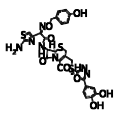 Nc1nc(/C(=N/OCc2ccc(O)cc2)C(=O)N[C@@H]2C(=O)N3C(C(=O)O)=C(CSc4nnc(-c5ccc(O)c(O)c5)o4)CS[C@H]23)cs1